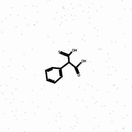 O=C(O)C(C(O)=S)c1ccccc1